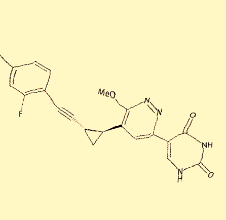 COc1nnc(-c2c[nH]c(=O)[nH]c2=O)cc1[C@H]1C[C@@H]1C#Cc1ccc(C#N)cc1F